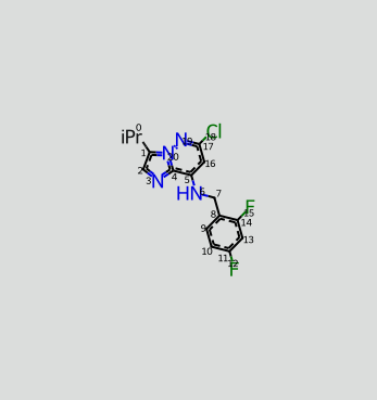 CC(C)c1cnc2c(NCc3ccc(F)cc3F)cc(Cl)nn12